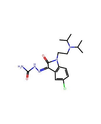 CC(C)N(CCN1C(=O)C(=NNC(N)=O)c2cc(Cl)ccc21)C(C)C